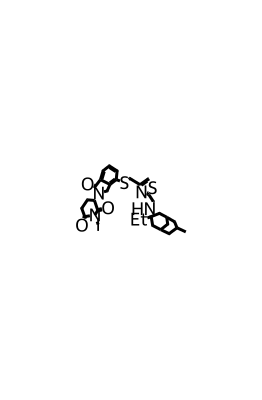 CCC1(NCc2nc(CSc3cccc4c3CN(C3CCC(=O)N(I)C3=O)C4=O)cs2)CC2CC(C)CC(C2)C1